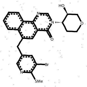 CSc1ncc(Cc2cc3c(=O)n([C@H]4CCOC[C@@H]4O)cnc3c3ccccc23)cc1Br